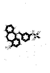 CS(=O)(=O)Nc1cccc(C[C@@H]2c3ccccc3CCc3c(N)cccc32)c1